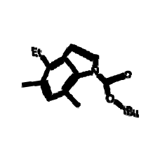 CCc1c(C)cc(C)c2c1ccn2C(=O)OC(C)(C)C